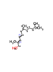 C/C(=C\C=C\CC(C)CCCC(C)C)CO